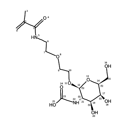 C=C(C)C(=O)NCCOCCO[C@H]1O[C@@H](CO)[C@@H](O)[C@@H](O)[C@@H]1NC(=O)O